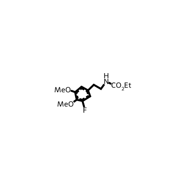 CCOC(=O)NCCc1cc(F)c(OC)c(OC)c1